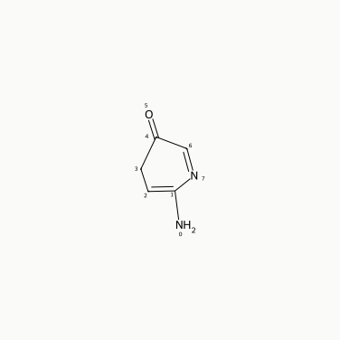 NC1=CCC(=O)C=N1